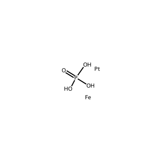 O=P(O)(O)O.[Fe].[Pt]